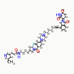 Cc1cncc(/C=C/C(=O)NCCCCC2CCN(C(=O)c3ccc(N4CCN(CCCCCC#Cc5cccc6c5CN(C5CCC(=O)NC5=O)C6=O)CC4)cc3F)C2)c1